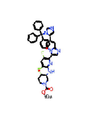 CC(C)(C)OC(=O)N1CC[C@H](F)[C@@H](Nc2nc(-c3cnc4cc(-c5cncn5C(c5ccccc5)(c5ccccc5)c5ccccc5)ccn34)c(F)cc2F)C1